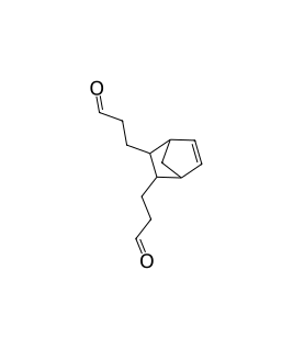 O=CCCC1C2C=CC(C2)C1CCC=O